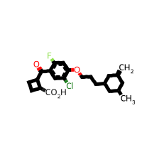 C=C1CC(C)CC(CCCOc2cc(F)c(C(=O)C3CCC3C(=O)O)cc2Cl)C1